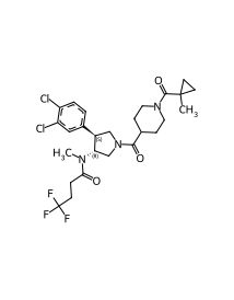 CN(C(=O)CCC(F)(F)F)[C@H]1CN(C(=O)C2CCN(C(=O)C3(C)CC3)CC2)C[C@@H]1c1ccc(Cl)c(Cl)c1